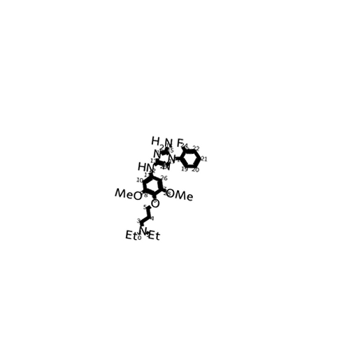 CCN(CC)CCCOc1c(OC)cc(Nc2nc(N)n(-c3ccccc3F)n2)cc1OC